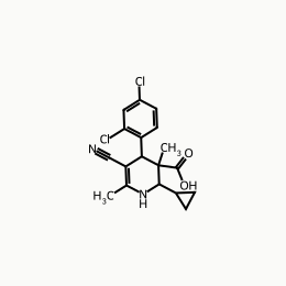 CC1=C(C#N)C(c2ccc(Cl)cc2Cl)C(C)(C(=O)O)C(C2CC2)N1